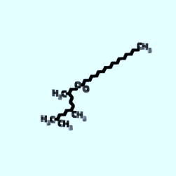 CCCCCCCCCCCCCCCCCC(=O)OCCC(C)CCCC(C)CCCC(C)C